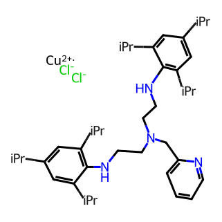 CC(C)c1cc(C(C)C)c(NCCN(CCNc2c(C(C)C)cc(C(C)C)cc2C(C)C)Cc2ccccn2)c(C(C)C)c1.[Cl-].[Cl-].[Cu+2]